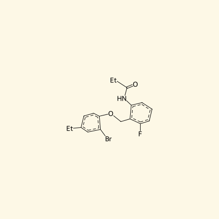 CCC(=O)Nc1cccc(F)c1COc1ccc(CC)cc1Br